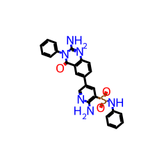 Nc1ncc(-c2ccc3nc(N)n(-c4ccccc4)c(=O)c3c2)cc1S(=O)(=O)Nc1ccccc1